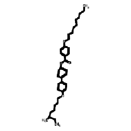 CCCCCCCCC=COc1ccc(C(=O)Oc2ccc(-c3ccc(OCCCCCC(C)CC)cc3)cc2)cc1